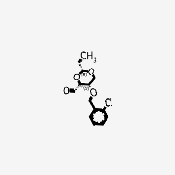 CC[C@@H]1OC[C@H](OCc2ccccc2Cl)[C@H](C=O)O1